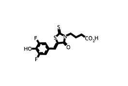 O=C(O)CCCN1C(=O)/C(=C/c2cc(F)c(O)c(F)c2)SC1=S